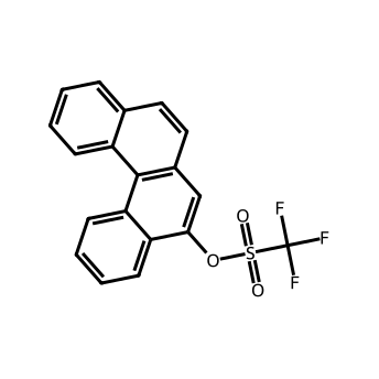 O=S(=O)(Oc1cc2ccc3ccccc3c2c2ccccc12)C(F)(F)F